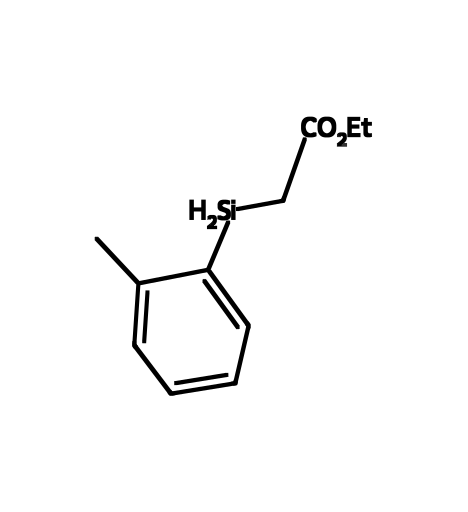 CCOC(=O)C[SiH2]c1ccccc1C